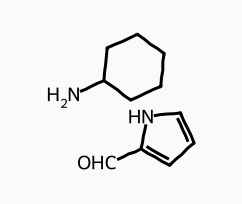 NC1CCCCC1.O=Cc1ccc[nH]1